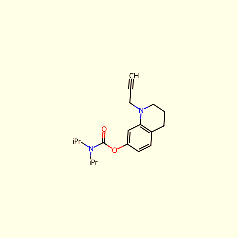 C#CCN1CCCc2ccc(OC(=O)N(C(C)C)C(C)C)cc21